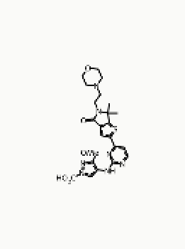 COc1nn(C(=O)O)cc1Nc1nccc(-c2cc3c(s2)C(C)(C)N(CCN2CCOCC2)C3=O)n1